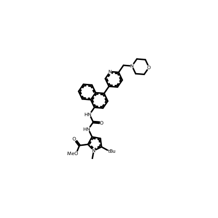 COC(=O)c1c(NC(=O)Nc2ccc(-c3ccc(CN4CCOCC4)nc3)c3ccccc23)cc(C(C)(C)C)n1C